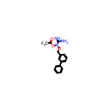 N=C(N)N(OCc1cccc(-c2ccccc2)c1)OC(=O)C(F)(F)F